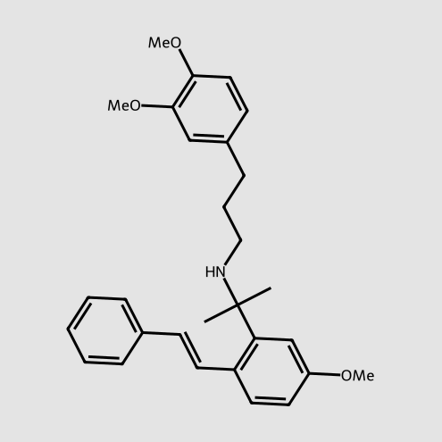 COc1ccc(C=Cc2ccccc2)c(C(C)(C)NCCCc2ccc(OC)c(OC)c2)c1